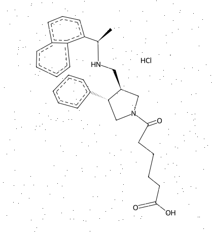 C[C@@H](NC[C@H]1CN(C(=O)CCCCC(=O)O)C[C@@H]1c1ccccc1)c1cccc2ccccc12.Cl